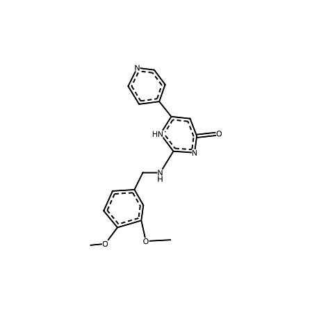 COc1ccc(CNc2nc(=O)cc(-c3ccncc3)[nH]2)cc1OC